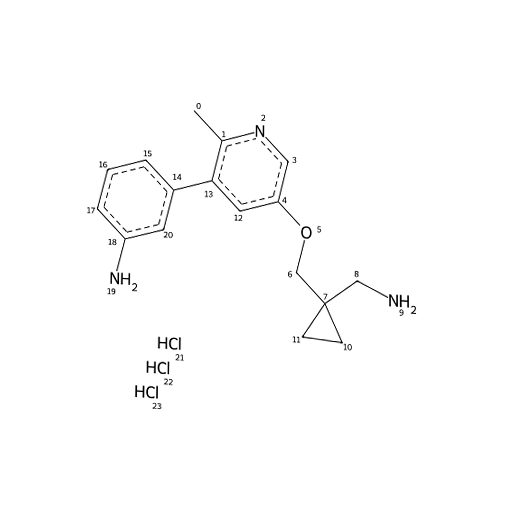 Cc1ncc(OCC2(CN)CC2)cc1-c1cccc(N)c1.Cl.Cl.Cl